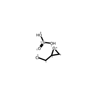 ClCC1CO1.O=[Si](O)O